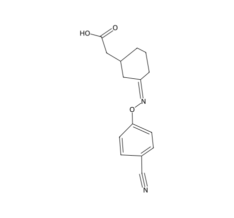 N#Cc1ccc(ON=C2CCCC(CC(=O)O)C2)cc1